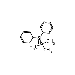 CC(C)(C)[SiH](c1ccccc1)C1C=CC=CC1